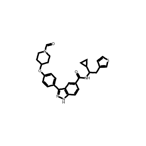 O=CN1CCC(Oc2ccc(-c3n[nH]c4ccc(C(=O)NC(Cc5ccsc5)C5CC5)cc34)cc2)CC1